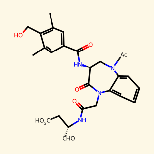 CC(=O)N1C[C@H](NC(=O)c2cc(C)c(CO)c(C)c2)C(=O)N(CC(=O)N[C@H](C=O)CC(=O)O)c2ccccc21